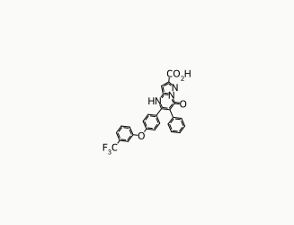 O=C(O)c1cc2[nH]c(-c3ccc(Oc4cccc(C(F)(F)F)c4)cc3)c(-c3ccccc3)c(=O)n2n1